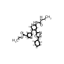 CCNC(=O)Nc1cc(-c2nnc(-c3ccccc3)o2)c(-c2cncc(C(=O)OCC)c2)cn1